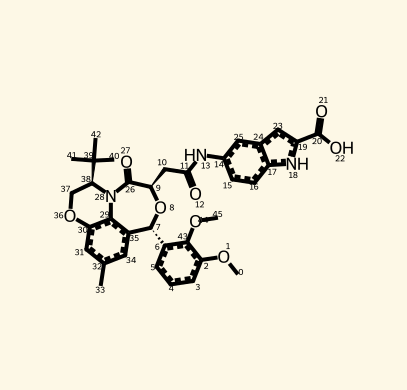 COc1cccc([C@H]2O[C@H](CC(=O)Nc3ccc4[nH]c(C(=O)O)cc4c3)C(=O)N3c4c(cc(C)cc42)OC[C@H]3C(C)(C)C)c1OC